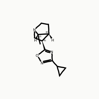 C[C@H]1[C@@H]2CCN1C[C@@H]2c1nc(C2CC2)no1